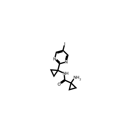 NC1(C(=O)NC2(c3ncc(I)cn3)CC2)CC1